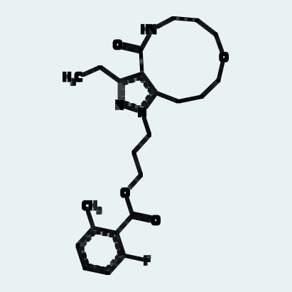 CCc1nn(CCCOC(=O)c2c(C)cccc2F)c2c1C(=O)NCCCOCCC2